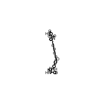 Cn1c(=O)n(C2CCC(=O)NC2=O)c2cccc(CCCOCCOCCOCCOCC(=O)N3CCN(C4CCC(Nc5ncnc6[nH]cc(C7CCOCC7)c56)CC4)CC3)c21